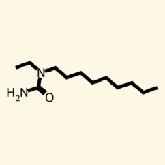 CCCCCCCCCN(CC)C(N)=O